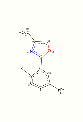 CCCc1ccc(C)c(-c2nc(C(=O)O)co2)c1